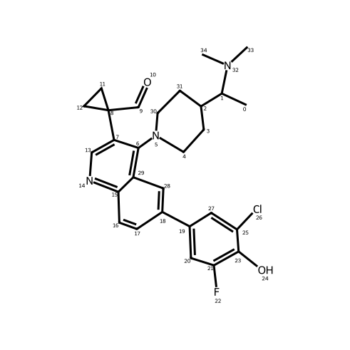 CC(C1CCN(c2c(C3(C=O)CC3)cnc3ccc(-c4cc(F)c(O)c(Cl)c4)cc23)CC1)N(C)C